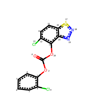 O=C(Oc1ccccc1Cl)Oc1c(Cl)ccc2snnc12